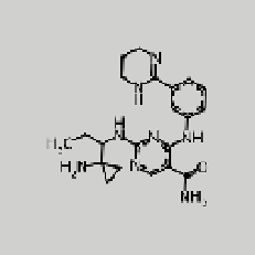 CCC(Nc1ncc(C(N)=O)c(Nc2cccc(C3=NCCCN3)c2)n1)C1(N)CC1